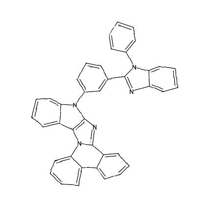 c1ccc(-n2c(-c3cccc(-n4c5ccccc5c5c4nc4c6ccccc6c6ccccc6n45)c3)nc3ccccc32)cc1